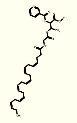 CC/C=C\C/C=C\C/C=C\C/C=C\C/C=C\C/C=C\CCC(=O)NCC(=O)OC(C)C(NC(=O)c1cccnc1)C(=O)OC